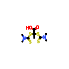 CN(C)C(=S)SC(C)(SC(=S)N(C)C)C(=O)O